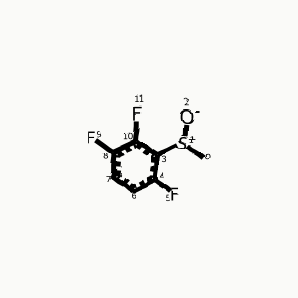 C[S+]([O-])c1c(F)ccc(F)c1F